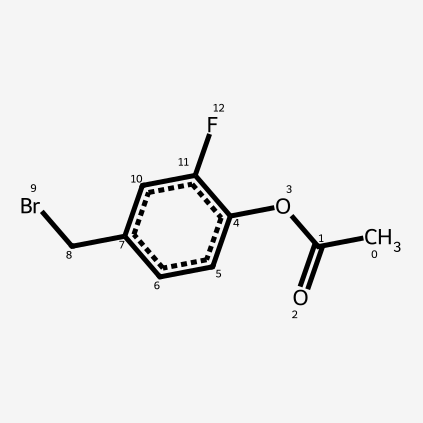 CC(=O)Oc1ccc(CBr)cc1F